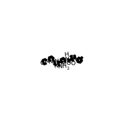 Cc1cccc(-n2c(=O)c(C(=O)Nc3ccc(-c4nc(-c5cccc(N6CCOCC6)n5)cnc4N)nc3)c(C)n2C)c1